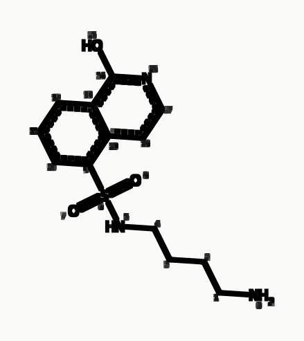 NCCCCNS(=O)(=O)c1cccc2c(O)nccc12